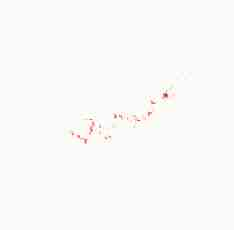 CC(OC(=O)COC(=O)COC(=O)CCC(=O)O)C(=O)OCC(=O)OC(C)C(=O)OCCOC(=O)C(C)OC(=O)COC(=O)C(C)OC(=O)COC(=O)COC(=O)CCC(=O)O